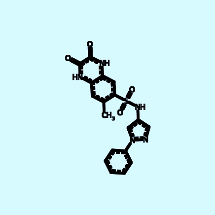 Cc1cc2[nH]c(=O)c(=O)[nH]c2cc1S(=O)(=O)Nc1cnn(-c2ccccc2)c1